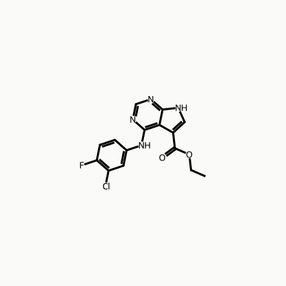 CCOC(=O)c1c[nH]c2ncnc(Nc3ccc(F)c(Cl)c3)c12